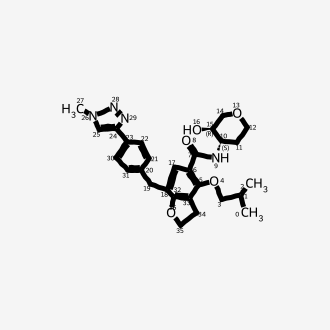 CC(C)COc1c(C(=O)N[C@H]2CCOC[C@@H]2O)cc(Cc2ccc(-c3cn(C)nn3)cc2)c2c1CCO2